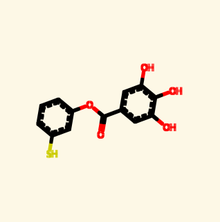 O=C(Oc1cccc(S)c1)c1cc(O)c(O)c(O)c1